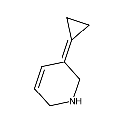 C1=CC(=C2CC2)CNC1